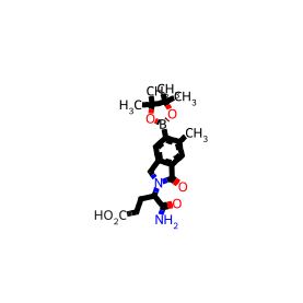 Cc1cc2c(cc1B1OC(C)(C)C(C)(C)O1)CN(C(CCC(=O)O)C(N)=O)C2=O